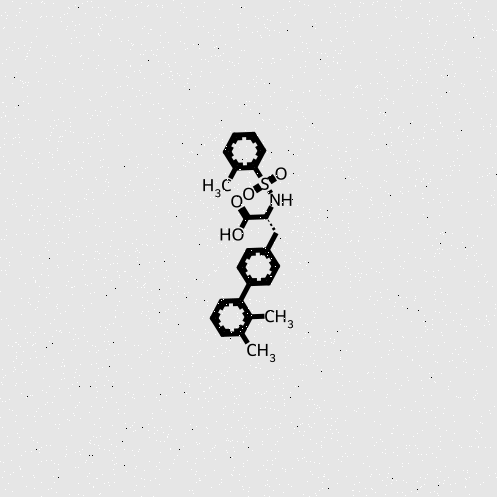 Cc1ccccc1S(=O)(=O)N[C@H](Cc1ccc(-c2cccc(C)c2C)cc1)C(=O)O